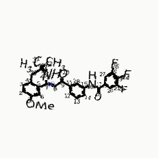 COc1ccc2c(c1)/C(=C/C(=O)c1cccc(NC(=O)c3cc(F)c(F)c(F)c3)c1)NC(C)(C)C2